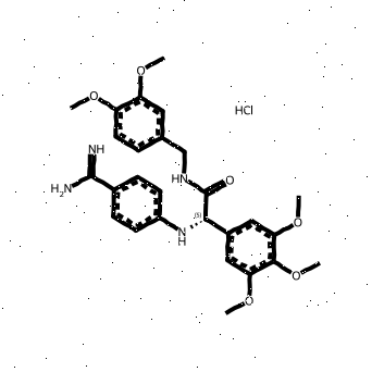 COc1ccc(CNC(=O)[C@@H](Nc2ccc(C(=N)N)cc2)c2cc(OC)c(OC)c(OC)c2)cc1OC.Cl